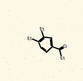 CCC(=O)c1ccc(CC)c(CC)c1